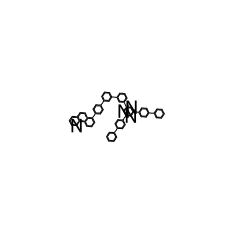 c1ccc(-c2ccc(-c3nc(-c4ccc(-c5ccccc5)cc4)nc(-c4cccc(-c5cccc(-c6ccc(-c7cccc8c7ccc7cccnc78)cc6)c5)c4)n3)cc2)cc1